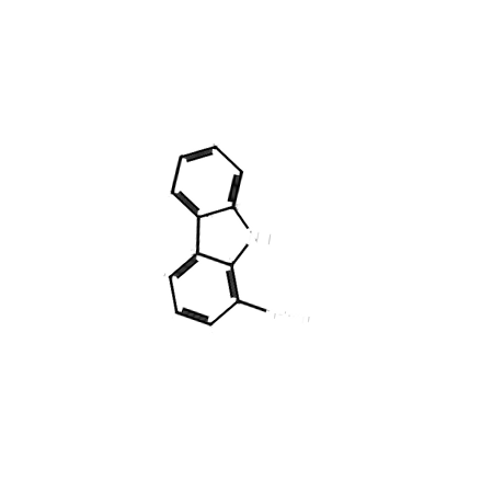 [CH2]CCCCc1cccc2c1[nH]c1ccccc12